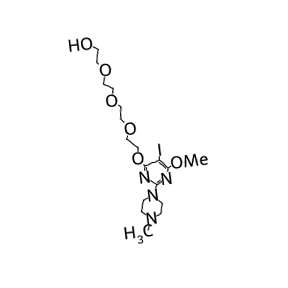 COc1nc(N2CCN(C)CC2)nc(OCCOCCOCCOCCO)c1I